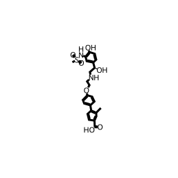 Cc1cc(C(=O)O)ccc1-c1ccc(OCCNC[C@@H](O)c2ccc(O)c(NS(C)(=O)=O)c2)cc1